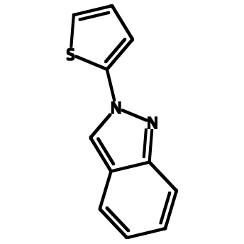 c1csc(-n2cc3ccccc3n2)c1